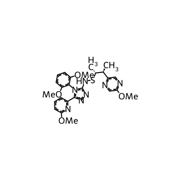 COc1cnc([C@H](C)[C@@H](C)SNc2nnc(-c3cccc(OC)n3)n2-c2c(OC)cccc2OC)cn1